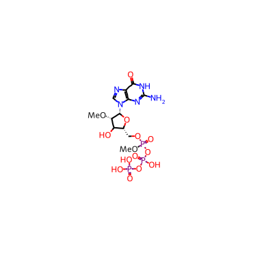 CO[C@H]1C(O)[C@@H](COP(=O)(OC)OP(=O)(O)OP(=O)(O)O)O[C@H]1n1cnc2c(=O)[nH]c(N)nc21